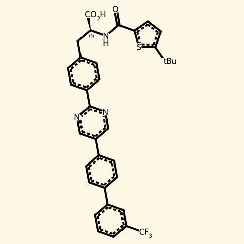 CC(C)(C)c1ccc(C(=O)N[C@@H](Cc2ccc(-c3ncc(-c4ccc(-c5cccc(C(F)(F)F)c5)cc4)cn3)cc2)C(=O)O)s1